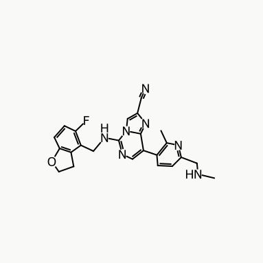 CNCc1ccc(-c2cnc(NCc3c(F)ccc4c3CCO4)n3cc(C#N)nc23)c(C)n1